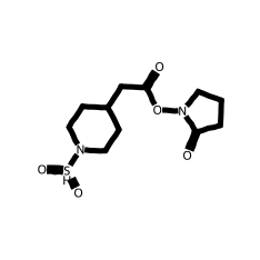 O=C(CC1CCN([SH](=O)=O)CC1)ON1CCCC1=O